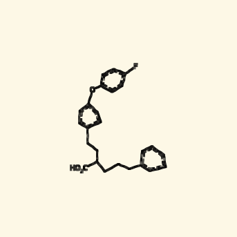 O=C(O)C(CCCc1ccccc1)CCc1ccc(Oc2ccc(F)cc2)cc1